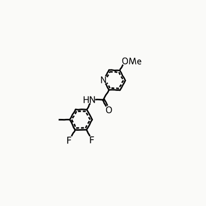 COc1ccc(C(=O)Nc2cc(C)c(F)c(F)c2)nc1